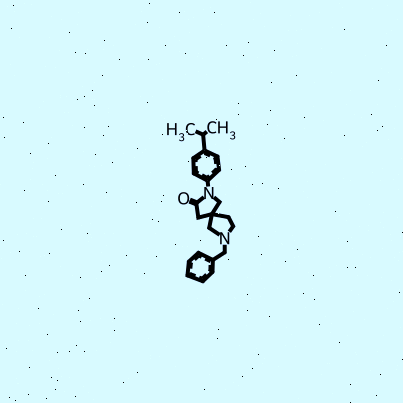 CC(C)c1ccc(N2CC3(CCN(Cc4ccccc4)C3)CC2=O)cc1